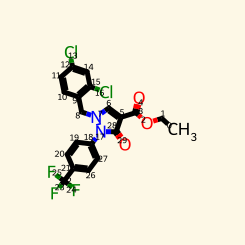 CCOC(=O)c1cn(Cc2ccc(Cl)cc2Cl)n(-c2ccc(C(F)(F)F)cc2)c1=O